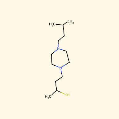 CC(C)CCN1CCN(CCC(C)S)CC1